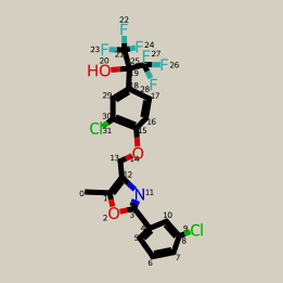 Cc1oc(-c2cccc(Cl)c2)nc1COc1ccc(C(O)(C(F)(F)F)C(F)(F)F)cc1Cl